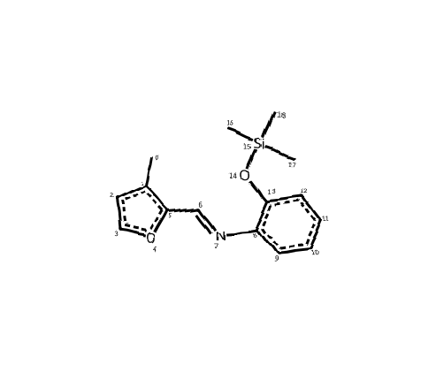 Cc1ccoc1C=Nc1ccccc1O[Si](C)(C)C